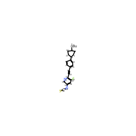 CCCCC1CCC(c2ccc(C#Cc3ncc(N=C=S)cc3F)cc2)CC1